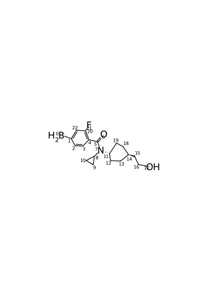 Bc1ccc(C(=O)N(C2CC2)[C@H]2CC[C@H](CCO)CC2)c(F)c1